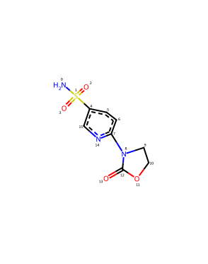 NS(=O)(=O)c1ccc(N2CCOC2=O)nc1